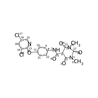 CN1C(=O)C(C(=O)Nc2ccc(Oc3ncc(Cl)cc3Cl)cc2)C(=O)N(C)C1=O